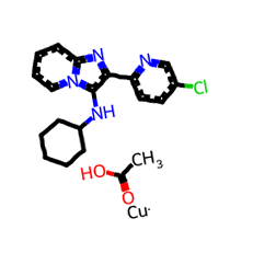 CC(=O)O.Clc1ccc(-c2nc3ccccn3c2NC2CCCCC2)nc1.[Cu]